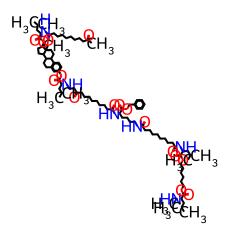 CNC(CC(C)C)C(=O)OCCCCCCOC(=O)C(CC(C)C)NC(=O)CCCCCCCCC(=O)NCCCCC(NC(=O)CCCCCCCCC(=O)CCNC(CC(C)C)C(=O)Oc1ccc2c(c1)CCC1C2CCC2(C)C(OC(=O)C(CC(C)C)NC(=O)CCCCCCCCC(C)=O)CCC12)C(=O)OCc1ccccc1